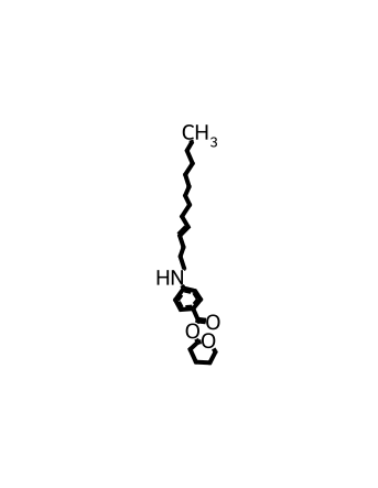 CCCCCCCCCC=CCCCNc1ccc(C(=O)OC2CCCCO2)cc1